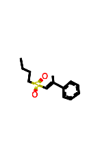 CCCCS(=O)(=O)C=C(C)c1ccccc1